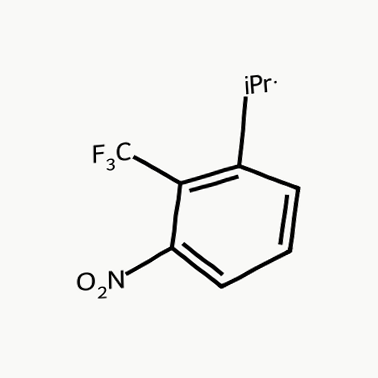 C[C](C)c1cccc([N+](=O)[O-])c1C(F)(F)F